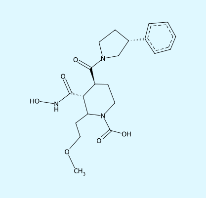 COCCC1[C@H](C(=O)NO)[C@@H](C(=O)N2CC[C@H](c3ccccc3)C2)CCN1C(=O)O